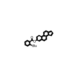 CC(C)(C)c1ccccc1C(=O)OC1=CCc2c(ccc3c4c(ccc23)=CC=C4)=C1